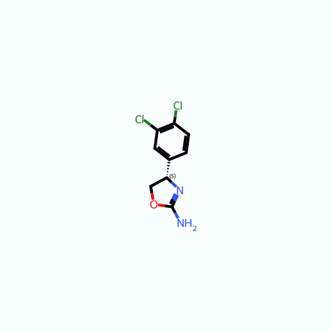 NC1=N[C@@H](c2ccc(Cl)c(Cl)c2)CO1